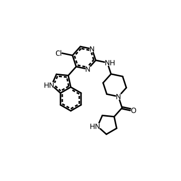 O=C(C1CCNC1)N1CCC(Nc2ncc(Cl)c(-c3c[nH]c4ccccc34)n2)CC1